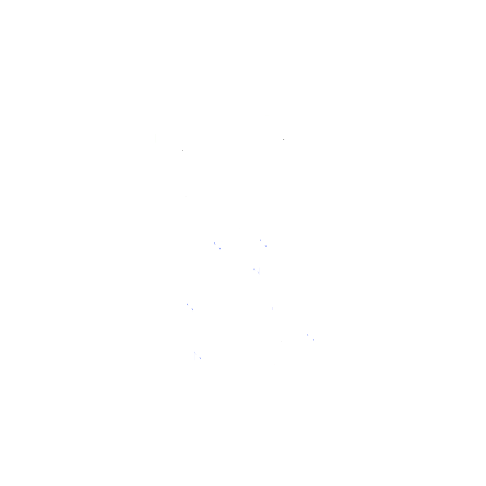 NC(=O)/C(=C/n1cnc(-c2cc(C(F)(F)F)cc3c2C=CC3(F)F)n1)c1cncnc1